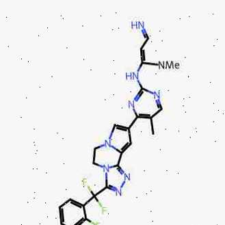 CN/C(=C\C=N)Nc1ncc(C)c(-c2cc3n(c2)CCn2c-3nnc2C(F)(F)c2ccccc2F)n1